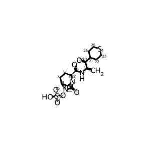 C=C(NC(=O)[C@@H]1CCC2CN1C(=O)N2OS(=O)(=O)O)C(=O)C1CCSCC1